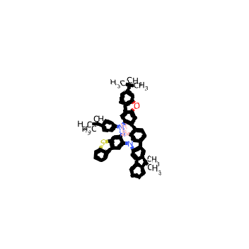 CC(C)(C)c1ccc(Nc2cc3c(cc2-c2ccc4c5cc6c(cc5n5c4c2Bc2cc4sc7ccccc7c4cc2-5)-c2ccccc2C6(C)C)oc2cc(C(C)(C)C)ccc23)cc1